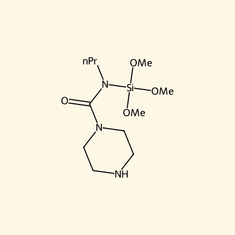 CCCN(C(=O)N1CCNCC1)[Si](OC)(OC)OC